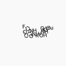 C[C@H](CNC(=O)c1[nH]c2ccc(F)cc2c1-c1ccccc1Cl)CC(O)CNC(=O)OC(C)(C)C